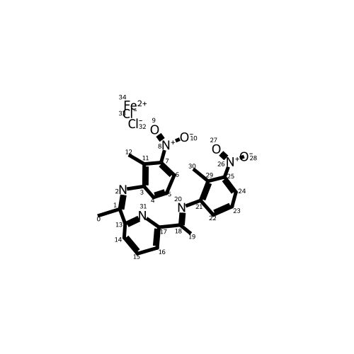 CC(=Nc1cccc([N+](=O)[O-])c1C)c1cccc(C(C)=Nc2cccc([N+](=O)[O-])c2C)n1.[Cl-].[Cl-].[Fe+2]